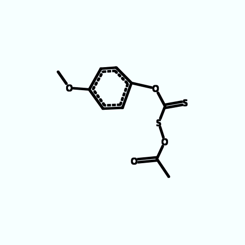 COc1ccc(OC(=S)SOC(C)=O)cc1